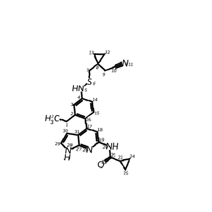 CCc1cc(NSCC2(CC#N)CC2)ccc1-c1cc(NC(=O)C2CC2)nc2[nH]ccc12